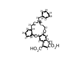 O=C(O)/C=C(/C(=O)O)c1cc2c(cc1Cl)OCCN(Cc1ccccc1)CCc1ccccc1O2